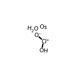 O.[O-][Cl+]O.[Os]